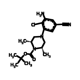 C[C@@H]1CN(c2cc(C#N)cc(N)c2Cl)C[C@H](C)N1C(=O)OC(C)(C)C